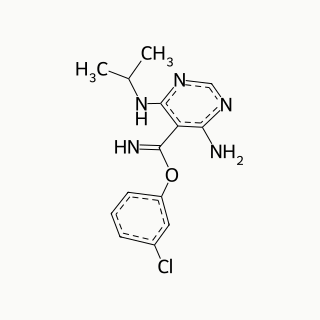 CC(C)Nc1ncnc(N)c1C(=N)Oc1cccc(Cl)c1